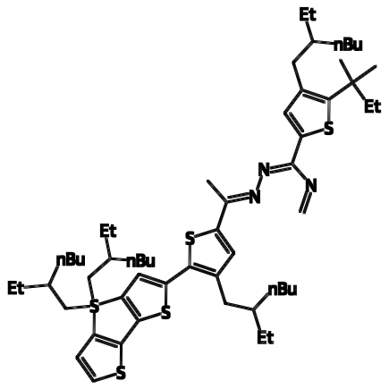 C=N/C(=N\N=C(/C)c1cc(CC(CC)CCCC)c(-c2cc3c(s2)-c2sccc2S3(CC(CC)CCCC)CC(CC)CCCC)s1)c1cc(CC(CC)CCCC)c(C(C)(C)CC)s1